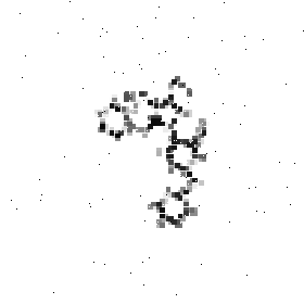 CC1=C(C)N(Cc2ccccc2)C(n2ccc(Oc3ccccc3)cc2=O)S1